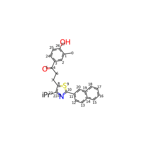 Cc1cc(C(=O)CCc2sc(-c3ccc4ccccc4c3)nc2C(C)C)ccc1O